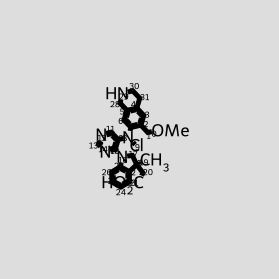 COCc1cc2c(cc1N(Cl)c1cncnc1N1C[C@](C)(CC(=O)O)c3ccccc31)CNCC2